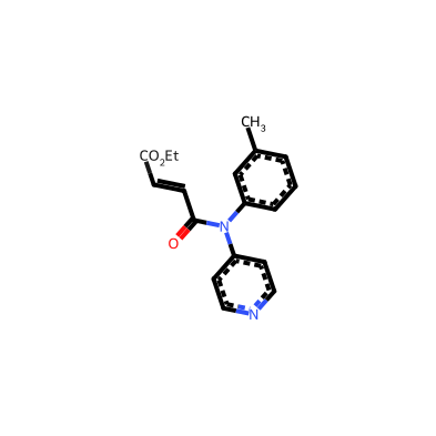 CCOC(=O)/C=C/C(=O)N(c1ccncc1)c1cccc(C)c1